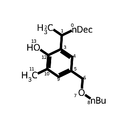 CCCCCCCCCCC(C)c1cc(COCCCC)cc(C)c1O